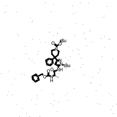 C[C@H](NC(=O)OCc1ccccc1)C(=O)Nc1cc(C2(c3ccccc3)CCN(C(=O)OC(C)(C)C)CC2)nn1C(C)(C)C